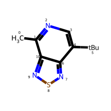 Cc1ncc(C(C)(C)C)c2nsnc12